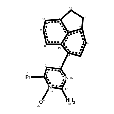 CC(C)c1cc(-c2ccc3c4c(cccc24)CC3)nc(N)[n+]1[O-]